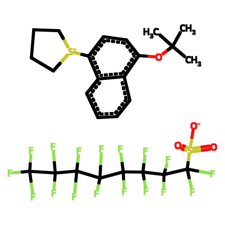 CC(C)(C)Oc1ccc([S+]2CCCC2)c2ccccc12.O=S(=O)([O-])C(F)(F)C(F)(F)C(F)(F)C(F)(F)C(F)(F)C(F)(F)C(F)(F)C(F)(F)F